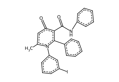 Cc1cc(=O)c(C(=O)Nc2ccccc2)c(-c2ccccc2)n1-c1cccc(I)c1